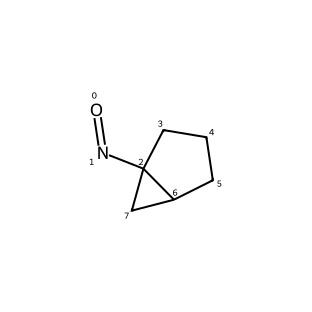 O=NC12CCCC1C2